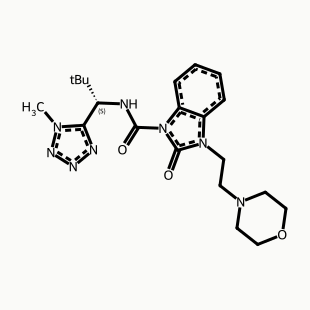 Cn1nnnc1[C@@H](NC(=O)n1c(=O)n(CCN2CCOCC2)c2ccccc21)C(C)(C)C